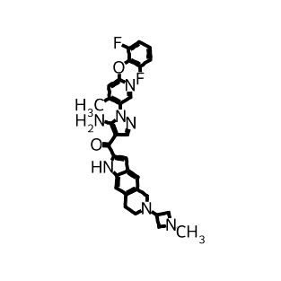 Cc1cc(Oc2c(F)cccc2F)ncc1-n1ncc(C(=O)c2cc3cc4c(cc3[nH]2)CCN(C2CN(C)C2)C4)c1N